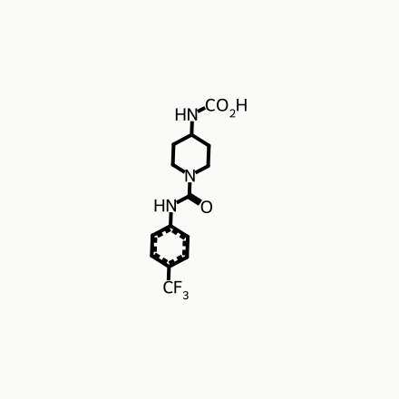 O=C(O)NC1CCN(C(=O)Nc2ccc(C(F)(F)F)cc2)CC1